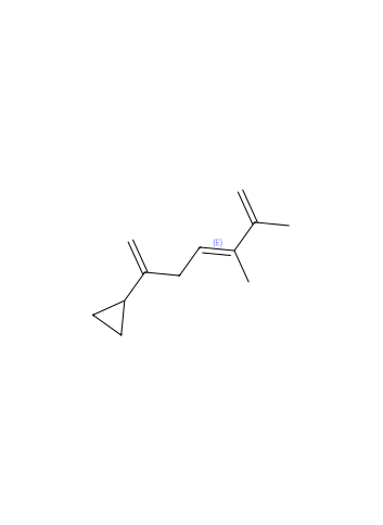 C=C(C)/C(C)=C/CC(=C)C1CC1